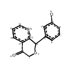 O=C1COC(c2cccc(Cl)c2)c2ncccc21